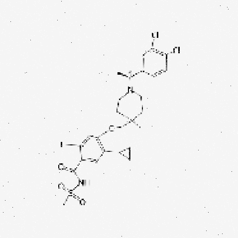 C[C@@H](c1ccc(Cl)c(Cl)c1)N1CCC(C)(COc2cc(F)c(C(=O)NS(C)(=O)=O)cc2C2CC2)CC1